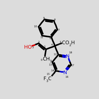 CC(=CO)C(C(=O)O)(c1ccccc1)c1cc(C(F)(F)F)ncn1